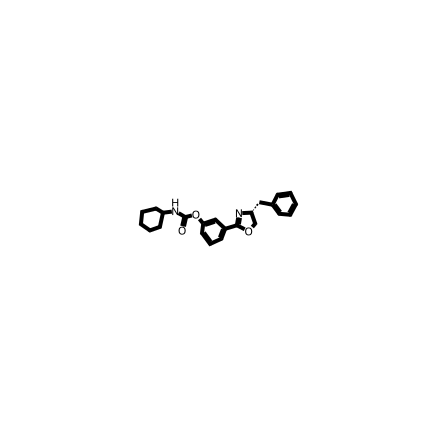 O=C(NC1CCCCC1)Oc1cccc(C2=N[C@H](Cc3ccccc3)CO2)c1